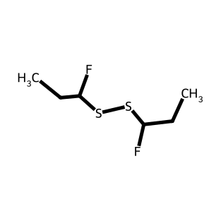 CCC(F)SSC(F)CC